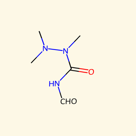 CN(C)N(C)C(=O)NC=O